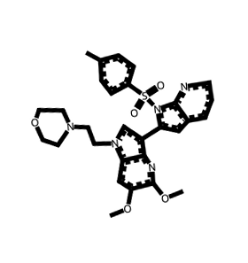 COc1cc2c(nc1OC)c(-c1cc3cccnc3n1S(=O)(=O)c1ccc(C)cc1)cn2CCN1CCOCC1